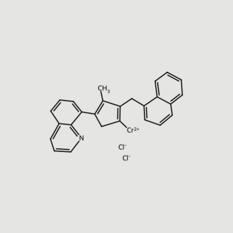 CC1=C(c2cccc3cccnc23)C[C]([Cr+2])=C1Cc1cccc2ccccc12.[Cl-].[Cl-]